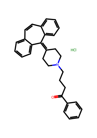 Cl.O=C(CCCN1CCC(=C2c3ccccc3C=Cc3ccccc32)CC1)c1ccccc1